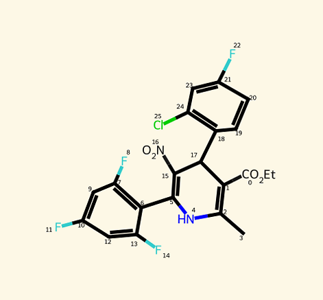 CCOC(=O)C1=C(C)NC(c2c(F)cc(F)cc2F)=C([N+](=O)[O-])C1c1ccc(F)cc1Cl